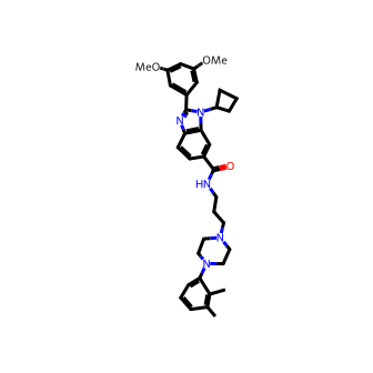 COc1cc(OC)cc(-c2nc3ccc(C(=O)NCCCN4CCN(c5cccc(C)c5C)CC4)cc3n2C2CCC2)c1